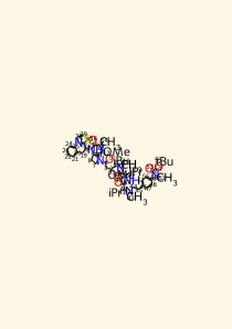 CCC(C)C(C(CC(=O)N1CCC[C@H]1C(OC)C(C)C(=O)NC(Cc1ccccc1)c1nccs1)OC)N(C)C(=O)C(NC(=O)C(C(C)C)N(C)CCc1ccc(N(C)C(=O)OC(C)(C)C)cc1)C(C)C